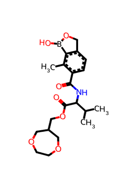 Cc1c(C(=O)NC(C(=O)OCC2COCCOC2)C(C)C)ccc2c1B(O)OC2